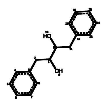 OC(Cc1ccccc1)C(O)Cc1ccccc1